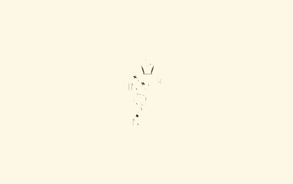 N#CN1CCC(NS(=O)(=O)c2cscc2Br)C1